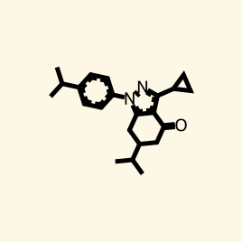 CC(C)c1ccc(-n2nc(C3CC3)c3c2CC(C(C)C)CC3=O)cc1